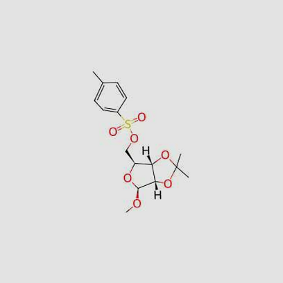 CO[C@H]1O[C@@H](COS(=O)(=O)c2ccc(C)cc2)[C@@H]2OC(C)(C)O[C@H]12